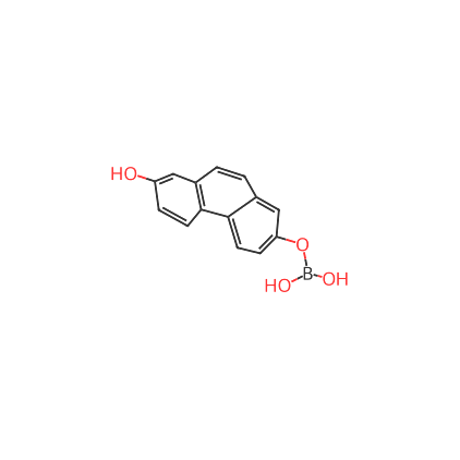 OB(O)Oc1ccc2c(ccc3cc(O)ccc32)c1